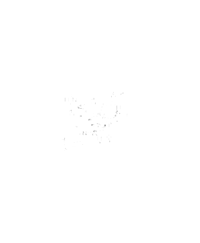 CNCC[C@]1(O)[C@@H]2C(=O)c3ccc(OC)c4c3[C@]1(CCN2CC1CC1)[C@@H](C(N)=O)O4